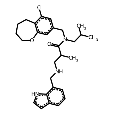 CC(C)CN(Cc1cc(Cl)c2c(c1)OCCCC2)C(=O)C(C)CNCc1cccc2cc[nH]c12